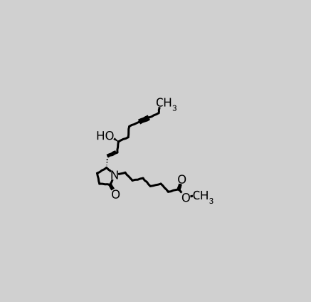 CCC#CCC[C@H](O)/C=C/[C@H]1CCC(=O)N1CCCCCCC(=O)OC